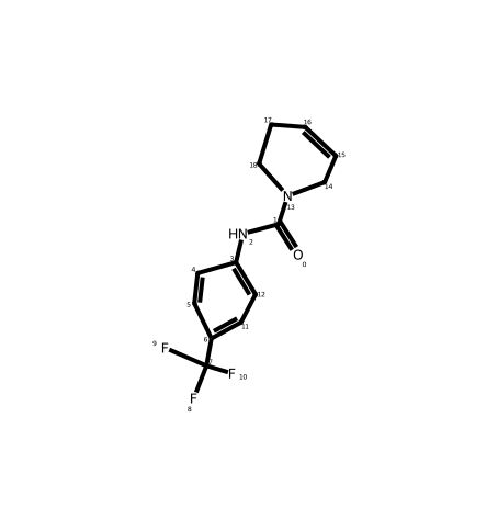 O=C(Nc1ccc(C(F)(F)F)cc1)N1CC=CCC1